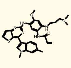 C=CC(=O)Nc1cc(Nc2nc(-c3cn(C)c4cc(C)ccc34)c3sccc3n2)c(OC)cc1NCCCN(C)C